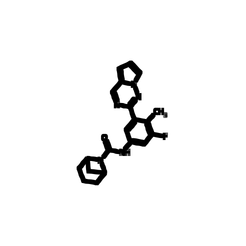 Cc1c(F)cc(NC(=O)N2C3CCCC2C3)cc1-c1ncc2cccn2n1